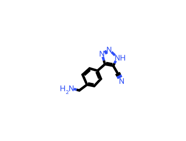 N#Cc1[nH]nnc1-c1ccc(CN)cc1